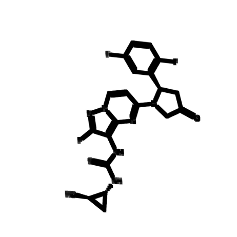 O=C1C[C@H](c2cc(F)ccc2F)N(c2ccn3nc(F)c(NC(=S)N[C@@H]4C[C@H]4O)c3n2)C1